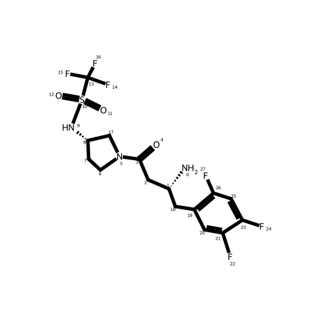 N[C@@H](CC(=O)N1CC[C@H](NS(=O)(=O)C(F)(F)F)C1)Cc1cc(F)c(F)cc1F